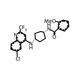 COc1ccccc1C(=O)N[C@H]1CC[C@@H](Nc2cc(C(F)(F)F)nc3ccc(Cl)cc23)CC1